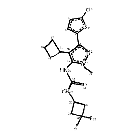 Cn1nc(-c2ccc(Cl)s2)c(C2CCC2)c1NC(=O)NC1CC(F)(F)C1